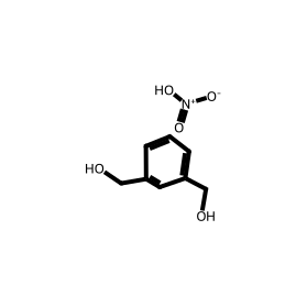 O=[N+]([O-])O.OCc1cccc(CO)c1